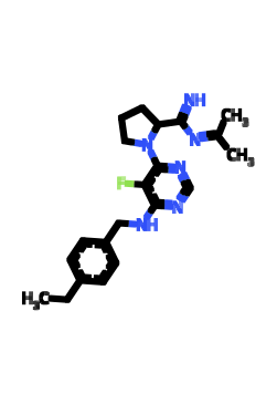 CCc1ccc(CNc2ncnc(N3CCCC3C(=N)N=C(C)C)c2F)cc1